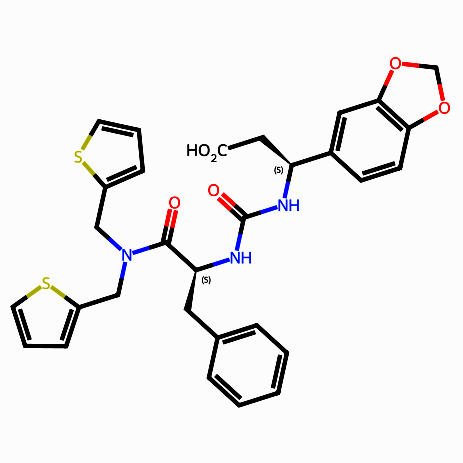 O=C(O)C[C@H](NC(=O)N[C@@H](Cc1ccccc1)C(=O)N(Cc1cccs1)Cc1cccs1)c1ccc2c(c1)OCO2